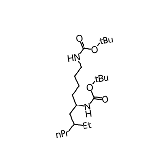 CCCC(CC)CC(CCCCNC(=O)OC(C)(C)C)NC(=O)OC(C)(C)C